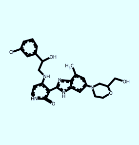 Cc1cc(N2CCOC(CO)C2)cc2[nH]c(-c3c(NCC(O)c4cccc(Cl)c4)cc[nH]c3=O)nc12